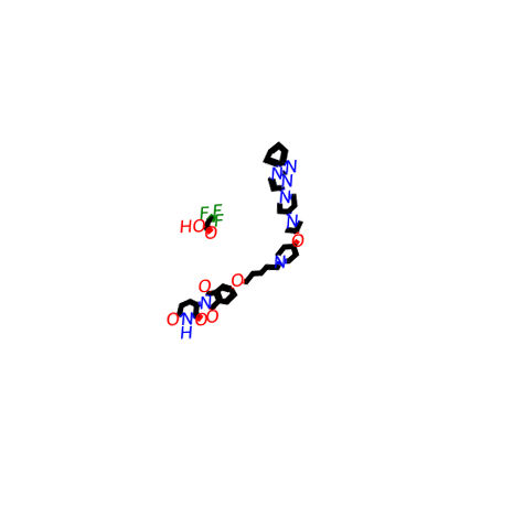 O=C(O)C(F)(F)F.O=C1CCC(N2C(=O)c3ccc(OCCCCCN4CCC(OC5CN(C6CCN(c7ccn8c(n7)nc7ccccc78)CC6)C5)CC4)cc3C2=O)C(=O)N1